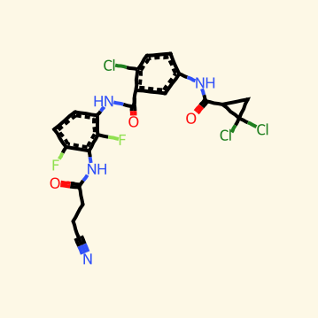 N#CCCC(=O)Nc1c(F)ccc(NC(=O)c2cc(NC(=O)C3CC3(Cl)Cl)ccc2Cl)c1F